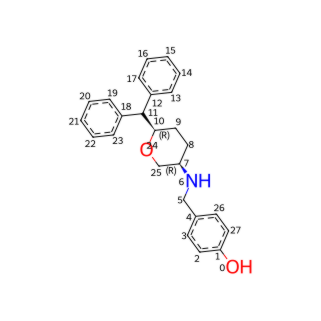 Oc1ccc(CN[C@@H]2CC[C@H](C(c3ccccc3)c3ccccc3)OC2)cc1